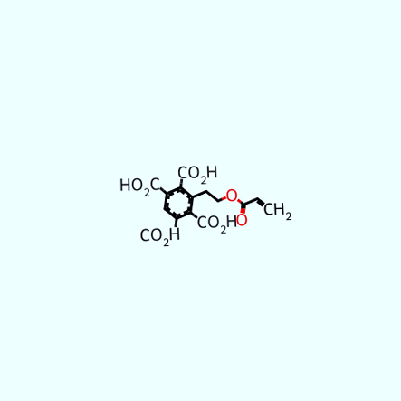 C=CC(=O)OCCc1c(C(=O)O)c(C(=O)O)cc(C(=O)O)c1C(=O)O